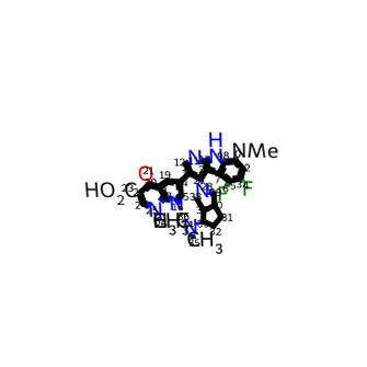 CNc1cc(F)c(F)c2c1[nH]c1ncc(-c3cnc4c(c3)c(=O)c(C(=O)O)cn4C)c(N3CC4CC[C@@H](N(C)C)C4C3)c12